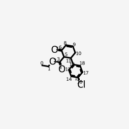 CCOC(=O)C1C(=O)C=CCC1c1ccc(Cl)cc1